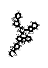 C/C=C\c1sc2cc(-c3ccc(-c4nc(-c5ccc6ccccc6c5)nc(-c5ccc6oc7ccccc7c6c5)n4)c4c3oc3ccccc34)ccc2c1C